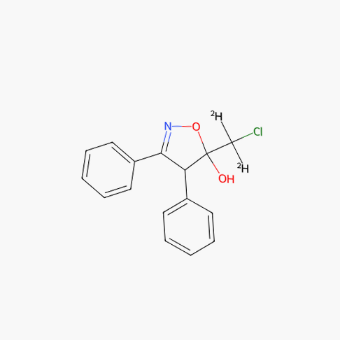 [2H]C([2H])(Cl)C1(O)ON=C(c2ccccc2)C1c1ccccc1